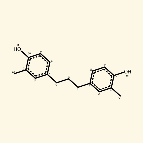 Cc1cc(CCCc2ccc(O)c(C)c2)ccc1O